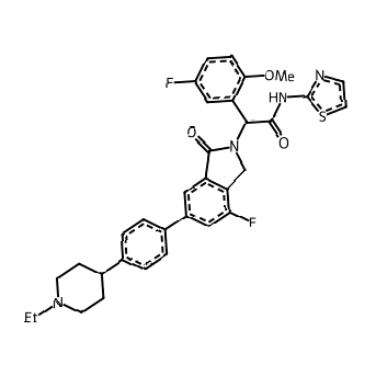 CCN1CCC(c2ccc(-c3cc(F)c4c(c3)C(=O)N(C(C(=O)Nc3nccs3)c3cc(F)ccc3OC)C4)cc2)CC1